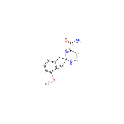 COc1cccc(CC2(C)N=C(C(N)=O)C=CN2)c1